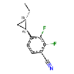 CC[C@H]1C[C@@H]1c1ccc(C#N)c(F)c1F